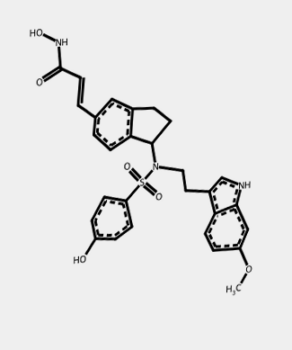 COc1ccc2c(CCN(C3CCc4cc(C=CC(=O)NO)ccc43)S(=O)(=O)c3ccc(O)cc3)c[nH]c2c1